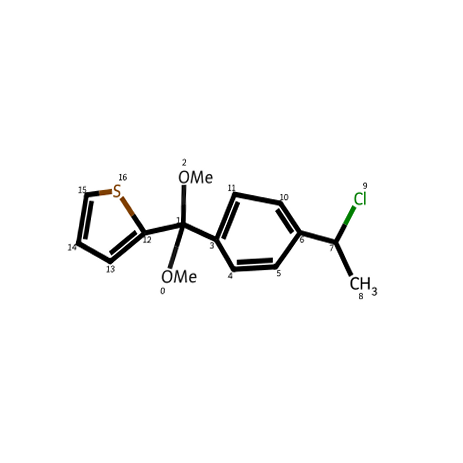 COC(OC)(c1ccc(C(C)Cl)cc1)c1cccs1